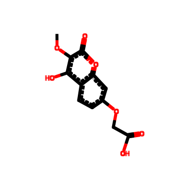 COc1c(O)c2ccc(OCC(=O)O)cc2oc1=O